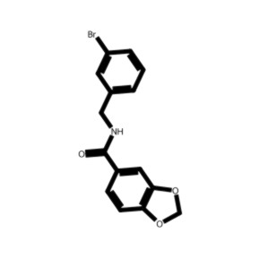 O=C(NCc1cccc(Br)c1)c1ccc2c(c1)OCO2